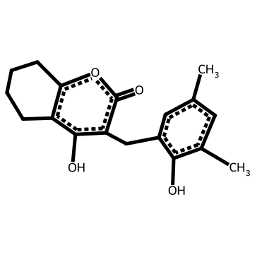 Cc1cc(C)c(O)c(Cc2c(O)c3c(oc2=O)CCCC3)c1